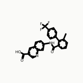 Cc1cccc(C(=O)Nc2ccc3cc(C(=O)O)cnc3c2)c1-c1ccc(C(F)(F)F)cc1